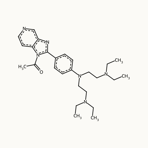 CCN(CC)CCN(CCN(CC)CC)c1ccc(-c2nc3cnccc3n2C(C)=O)cc1